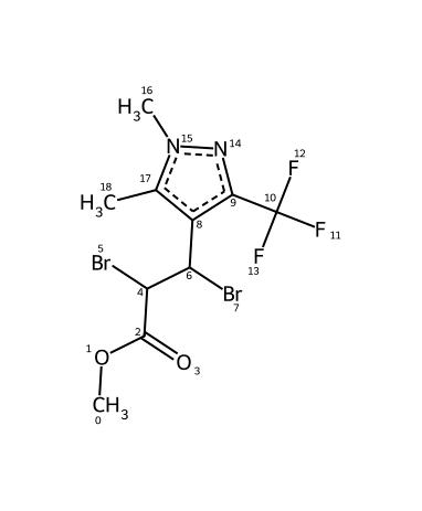 COC(=O)C(Br)C(Br)c1c(C(F)(F)F)nn(C)c1C